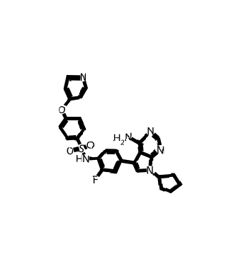 Nc1ncnc2c1c(-c1ccc(NS(=O)(=O)c3ccc(Oc4ccncc4)cc3)c(F)c1)cn2C1CCCC1